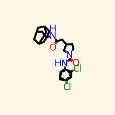 O=C(CC1CCN(C(=O)Nc2ccc(Cl)cc2Cl)C1)NC12CC3CC(CC(C3)C1)C2